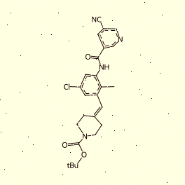 Cc1c(C=C2CCN(C(=O)OC(C)(C)C)CC2)cc(Cl)cc1NC(=O)c1cncc(C#N)c1